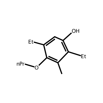 CCCOc1c(CC)cc(O)c(CC)c1C